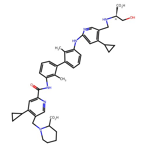 Cc1c(NC(=O)c2cc(C3CC3)c(CN3CCCCC3C(=O)O)cn2)cccc1-c1cccc(Nc2cc(C3CC3)c(CN[C@H](CO)C(=O)O)cn2)c1C